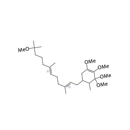 COC1=C(OC)C(OC)(OC)C(C)C(C/C=C(\C)CC/C=C(\C)CCCC(C)(C)OC)C1